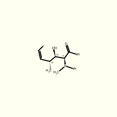 CC(C)C(=O)[C@H]([C@H](O)[C@H](C)/C=C\I)N(C)C(C)C